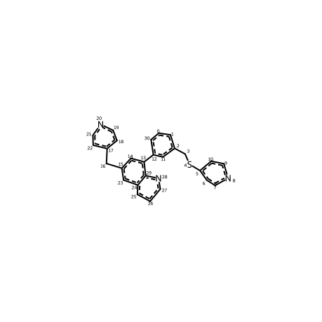 c1cc(CSc2ccncc2)cc(-c2cc(Cc3ccncc3)cc3cccnc23)c1